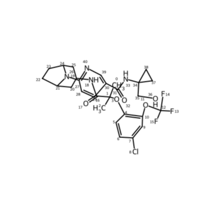 CC(C)(Oc1ccc(Cl)cc1OC(F)(F)F)C(=O)NC1CC2CCC(C1)N2c1ccc(C(=O)NC2(CO)CC2)cn1